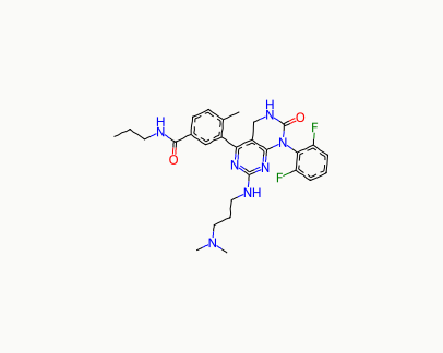 CCCNC(=O)c1ccc(C)c(-c2nc(NCCCN(C)C)nc3c2CNC(=O)N3c2c(F)cccc2F)c1